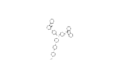 C=Cc1ccc(-c2ccc(-c3ccc(N(c4ccc(-c5cccc6c5oc5ccccc56)cc4)c4ccc(-n5c6ccccc6c6ccccc65)cc4)cc3)cc2)cc1